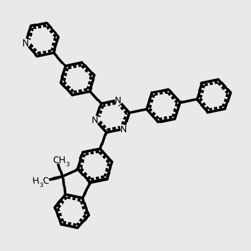 CC1(C)c2ccccc2-c2ccc(-c3nc(-c4ccc(-c5ccccc5)cc4)nc(-c4ccc(-c5cccnc5)cc4)n3)cc21